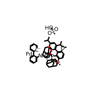 COc1ccc(OC)c(P(C23CC4CC(CC(C4)C2)C3)C23CC4CC(CC(C4)C2)C3)c1-c1c(C(C)C)cc(C(C)C)cc1C(C)C.CS(=O)(=O)O.Nc1ccccc1-c1[c-]cccc1.[Pd]